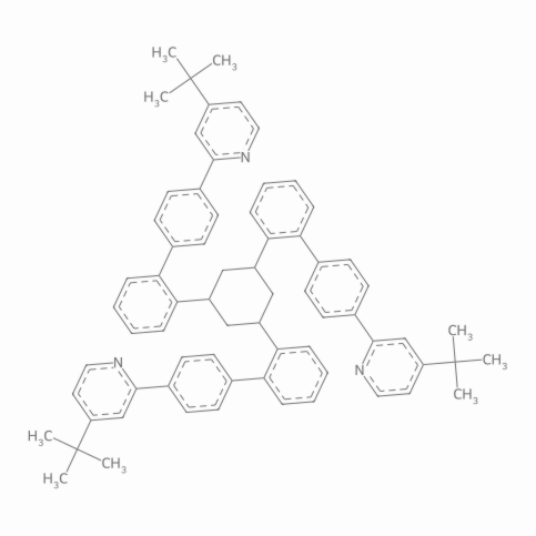 CC(C)(C)c1ccnc(-c2ccc(-c3ccccc3C3CC(c4ccccc4-c4ccc(-c5cc(C(C)(C)C)ccn5)cc4)CC(c4ccccc4-c4ccc(-c5cc(C(C)(C)C)ccn5)cc4)C3)cc2)c1